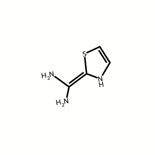 NC(N)=C1NC=CS1